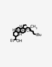 CCC(O)C1CC[C@@H]2CC[C@@H]3[C@H](CC[C@]4(C)[C@@H]([C@H](C)CCCC(C)(C)C)CC[C@@H]34)[C@H]2C1